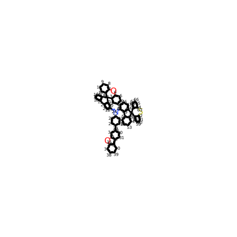 c1ccc2c(c1)Oc1ccccc1C21c2ccccc2-c2ccc(N(c3ccc(-c4ccc5c(c4)oc4ccccc45)cc3)c3cccc4c3-c3ccccc3C43c4ccccc4Sc4ccccc43)cc21